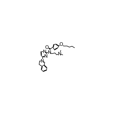 CCCCCOc1ccc(C(=O)N(CCCN(C)C)c2nccc(N3CCc4ccccc4C3)n2)cc1